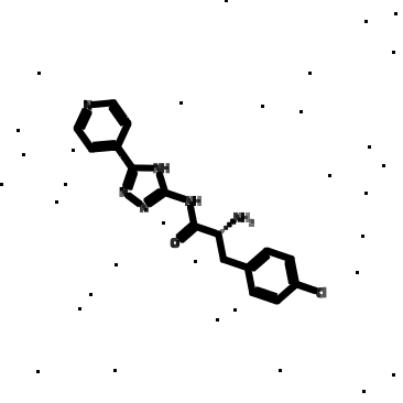 N[C@H](Cc1ccc(Cl)cc1)C(=O)Nc1nnc(-c2ccncc2)[nH]1